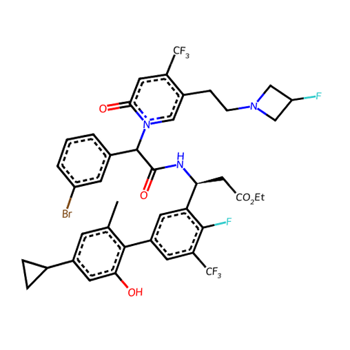 CCOC(=O)C[C@H](NC(=O)C(c1cccc(Br)c1)n1cc(CCN2CC(F)C2)c(C(F)(F)F)cc1=O)c1cc(-c2c(C)cc(C3CC3)cc2O)cc(C(F)(F)F)c1F